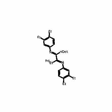 CCCCCCCCC(=N\c1ccc(CC)c(CC)c1)/C(CC)=N/c1ccc(CC)c(CC)c1.[Pd]